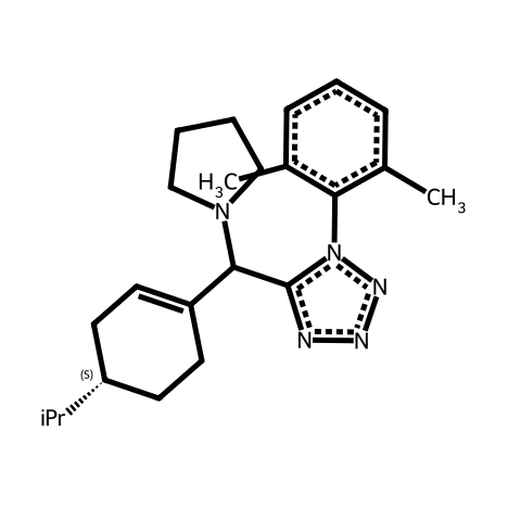 Cc1cccc(C)c1-n1nnnc1C(C1=CC[C@@H](C(C)C)CC1)N1CCCC1